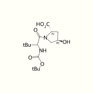 CC(C)(C)OC(=O)NC(C(=O)N1C[C@H](O)C[C@H]1C(=O)O)C(C)(C)C